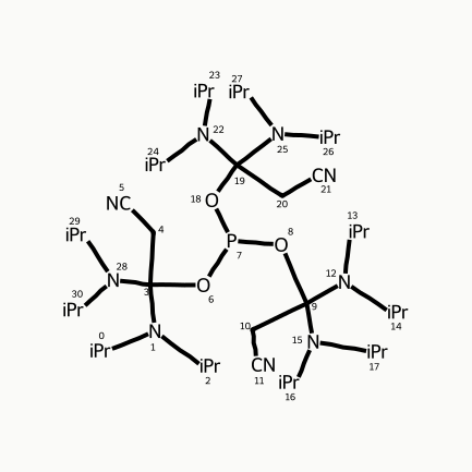 CC(C)N(C(C)C)C(CC#N)(OP(OC(CC#N)(N(C(C)C)C(C)C)N(C(C)C)C(C)C)OC(CC#N)(N(C(C)C)C(C)C)N(C(C)C)C(C)C)N(C(C)C)C(C)C